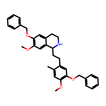 COc1cc(C)c(CCC2NCCc3cc(OCc4ccccc4)c(OC)cc32)cc1OCc1ccccc1